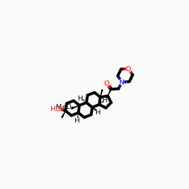 COC[C@]12CC[C@@](C)(O)C[C@@H]1CC[C@H]1[C@@H]3CC[C@H](C(=O)CN4CCOCC4)[C@@]3(C)CC[C@@H]12